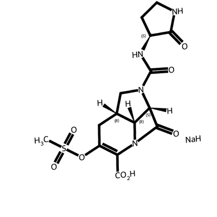 CS(=O)(=O)OC1=C(C(=O)O)N2C(=O)[C@@H]3[C@H]2[C@H](C1)CN3C(=O)N[C@H]1CCNC1=O.[NaH]